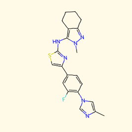 Cc1cn(-c2ccc(-c3csc(Nc4c5c(nn4C)CCCC5)n3)cc2F)cn1